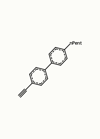 C#Cc1ccc(-c2ccc(CCCCC)cc2)cc1